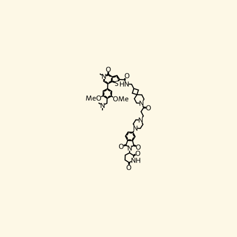 COc1cc(-c2cn(C)c(=O)c3cc(C(=O)NCC4CC5(CCN(C(=O)CCN6CCN(c7ccc8c(c7)C(=O)N(C7CCC(=O)NC7=O)C8=O)CC6)CC5)C4)sc23)cc(OC)c1CN(C)C